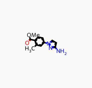 COC(=O)c1ccc(-n2ccc(N)n2)cc1C